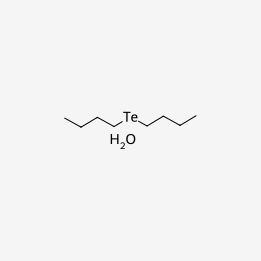 CCCC[Te]CCCC.O